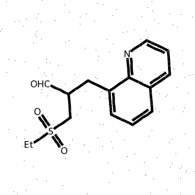 CCS(=O)(=O)CC(C=O)Cc1cccc2cccnc12